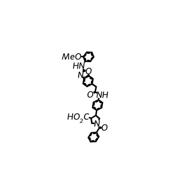 COc1ccccc1Nc1nc2ccc(CC(=O)Nc3ccc(C4CN(C(=O)c5ccccc5)CC4C(=O)O)cc3)cc2o1